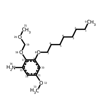 CCCCCCCCOc1cc(OC)cc(N)c1OCOC